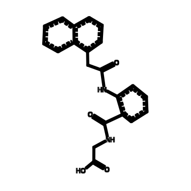 O=C(O)CNC(=O)c1ccccc1NC(=O)Cc1cccc2ccccc12